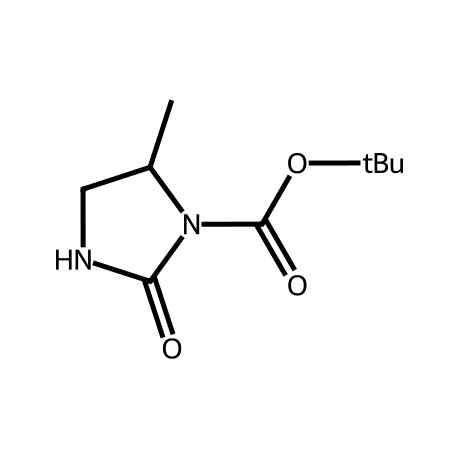 CC1CNC(=O)N1C(=O)OC(C)(C)C